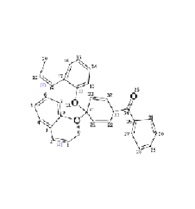 C/C=C\c1ccccc1OC1(Oc2ccccc2/C=C\C)C=CC(C(=O)c2ccccc2)C=C1